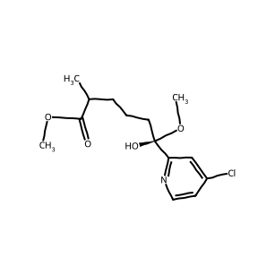 COC(=O)C(C)CCC[C@](O)(OC)c1cc(Cl)ccn1